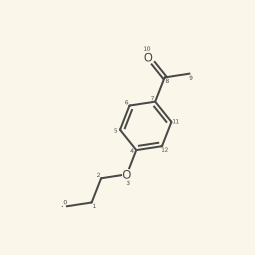 [CH2]CCOc1ccc(C(C)=O)cc1